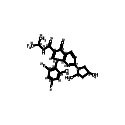 CC1CC(O)CN1c1ccc2c(=O)c(C(=O)NC(C)C(F)(F)F)cn(-c3c(F)cc(F)cc3Cl)c2n1